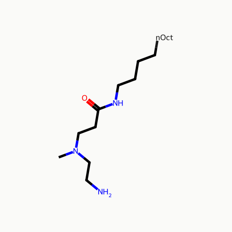 CCCCCCCCCCCCNC(=O)CCN(C)CCN